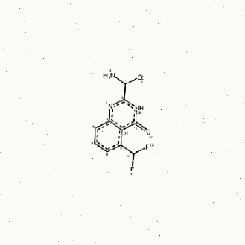 CCC(N)c1nc2cccc(C(F)F)c2c(=O)[nH]1